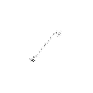 Cc1cc(Cl)cc2c1C[C@H](N(C)C)[C@H]2Oc1ccc(S(=O)(=O)NCCOCCOCCNC(=O)NCCCCNC(=O)NCCOCCOCCNS(=O)(=O)c2ccc(O[C@H]3c4cc(Cl)cc(C)c4C[C@@H]3N(C)C)c(F)c2)cc1F